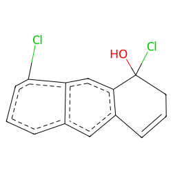 OC1(Cl)CC=Cc2cc3cccc(Cl)c3cc21